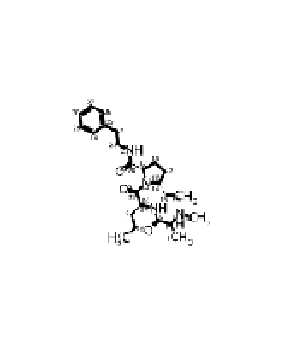 CCC[C@H](NC(=O)[C@H](C)NC)C(=O)N1[C@@H](CC)CC[C@H]1C(=O)NCCc1ccccc1